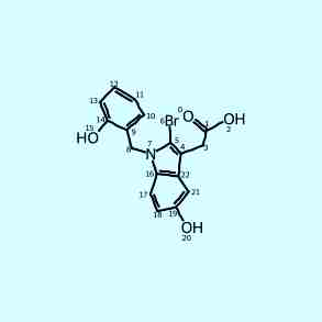 O=C(O)Cc1c(Br)n(Cc2ccccc2O)c2ccc(O)cc12